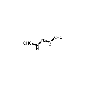 O=C[NH][Yb][NH]C=O